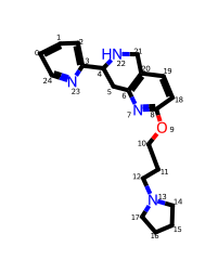 c1ccc(C2Cc3nc(OCCCN4CCCC4)ccc3CN2)nc1